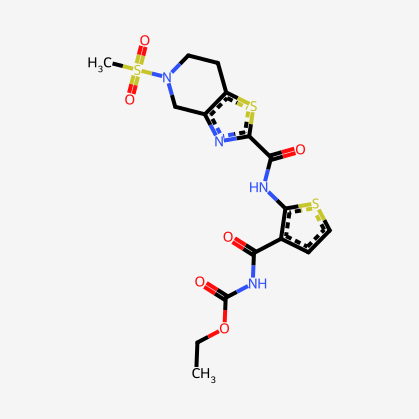 CCOC(=O)NC(=O)c1ccsc1NC(=O)c1nc2c(s1)CCN(S(C)(=O)=O)C2